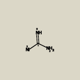 N=[C](N)[Ni]